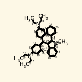 CCN(CC)c1ccc(/C(=C2\C=CC(=[N+](CC)CC)C=C2C)c2c(-c3ccccc3)n(C)c3ccccc23)cc1